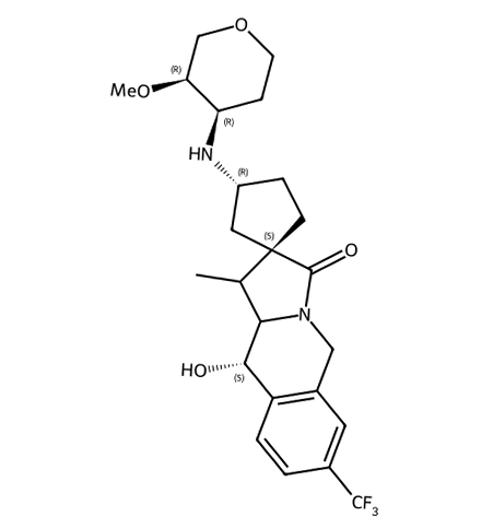 CO[C@H]1COCC[C@H]1N[C@@H]1CC[C@@]2(C1)C(=O)N1Cc3cc(C(F)(F)F)ccc3[C@H](O)C1C2C